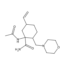 C=CC1CCC(CN2CCOCC2)C(NC(C)=O)(C(N)=O)C1